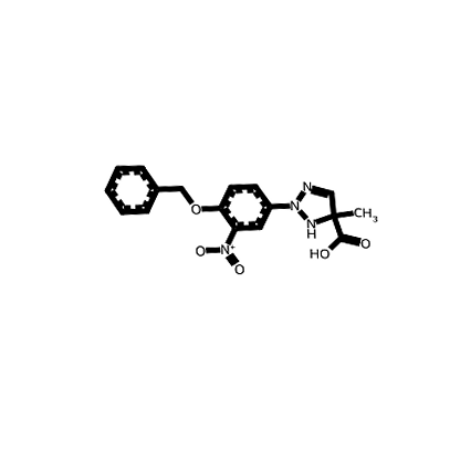 CC1(C(=O)O)C=NN(c2ccc(OCc3ccccc3)c([N+](=O)[O-])c2)N1